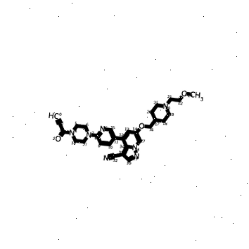 C#CC(=O)N1CCN(c2ccc(-c3cc(OCC4CCN(CCOC)CC4)cn4ncc(C#N)c34)cn2)CC1